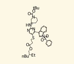 CCCCC(CC)COC(=O)CCSc1cnc(N[C@H]2CCCN(C(=O)OC(C)(C)C)C2)nc1-c1cn(S(=O)(=O)c2ccccc2)c2ccccc12